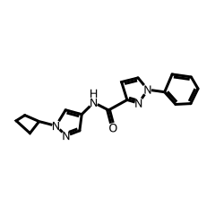 O=C(Nc1cnn(C2CCC2)c1)c1ccn(-c2ccccc2)n1